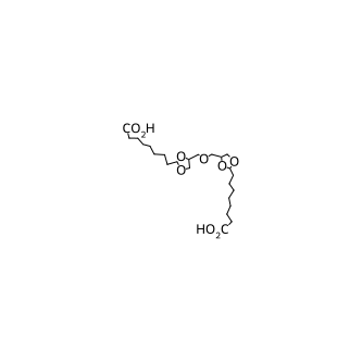 O=C(O)CCCCCCCC1OCC(COCC2COC(CCCCCCCC(=O)O)O2)O1